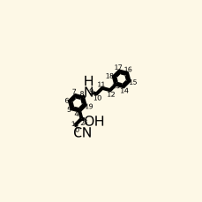 N#CCC(O)c1cccc(NCCCc2ccccc2)c1